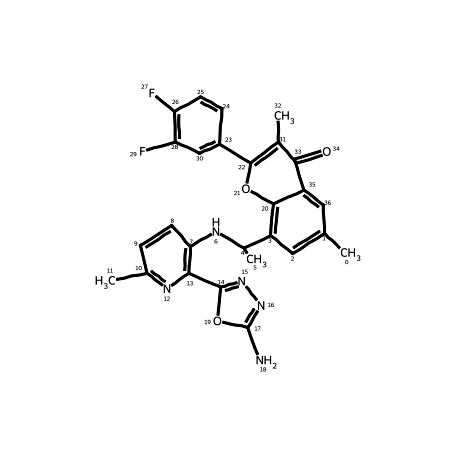 Cc1cc(C(C)Nc2ccc(C)nc2-c2nnc(N)o2)c2oc(-c3ccc(F)c(F)c3)c(C)c(=O)c2c1